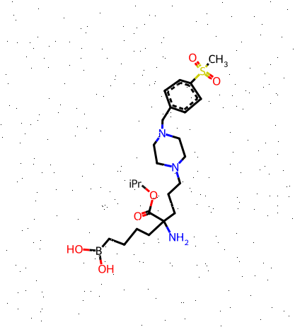 CC(C)OC(=O)C(N)(CCCCB(O)O)CCCN1CCN(Cc2ccc(S(C)(=O)=O)cc2)CC1